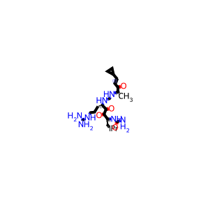 CC(C)C[C@H](NC(N)=O)C(=O)C(=O)[C@H](CCCNC(N)N)NCN[C@@H](C)C(=O)/C=C/C1CC1